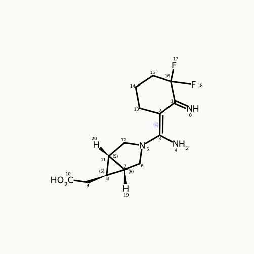 N=C1/C(=C(\N)N2C[C@@H]3[C@@H](CC(=O)O)[C@@H]3C2)CCCC1(F)F